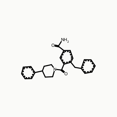 NC(=O)c1ccc(Cc2ccccc2)c(C(=O)N2CCC(c3ccccc3)CC2)c1